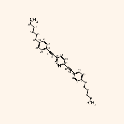 CCCCCCc1ccc(C#Cc2ccc(C#Cc3ccc(CCCCCC)cc3)nn2)cc1